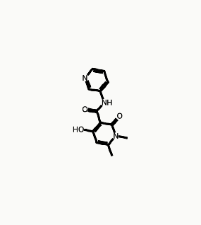 Cc1cc(O)c(C(=O)Nc2cccnc2)c(=O)n1C